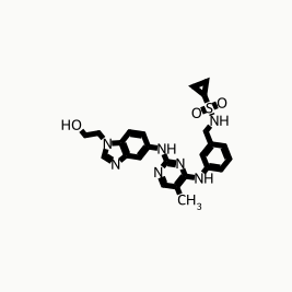 Cc1cnc(Nc2ccc3c(c2)ncn3CCO)nc1Nc1cccc(CNS(=O)(=O)C2CC2)c1